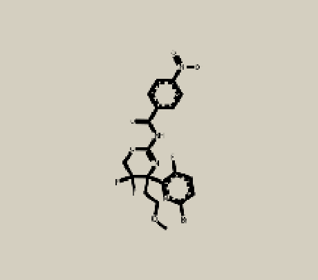 COCCC1(c2nc(Br)ccc2F)N=C(NC(=O)c2ccc([N+](=O)[O-])cc2)OCC1(F)F